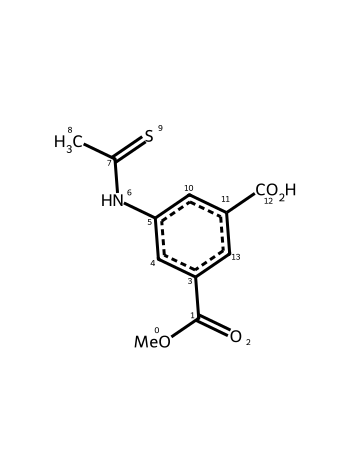 COC(=O)c1cc(NC(C)=S)cc(C(=O)O)c1